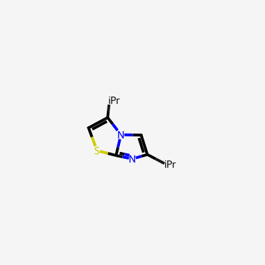 CC(C)c1cn2c(C(C)C)csc2n1